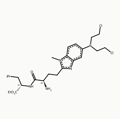 CCOC(=O)[C@H](CC(C)C)NC(=O)[C@H](N)CCc1nc2cc(N(CCCl)CCCl)ccc2n1C